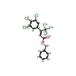 O=C(C=C(c1cc(Cl)c(Cl)c(Cl)c1)C(F)(F)F)OCc1ccccc1